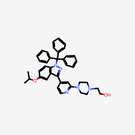 CC(C)Oc1ccc2c(c1)c(-c1ccnc(N3CCN(CCO)CC3)c1)nn2C(c1ccccc1)(c1ccccc1)c1ccccc1